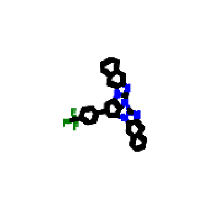 FC(F)(F)c1ccc(-c2cc3c4c(c2)n2c5cc6ccccc6cc5nc2n4c2nc4cc5ccccc5cc4n32)cc1